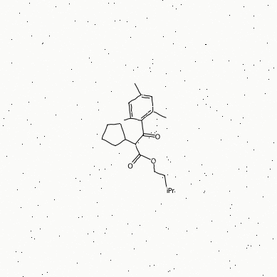 Cc1cc(C)c(C(=O)C(C(=O)OCCC(C)C)C2CCCC2)c(C)c1